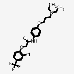 CCN(CC)CCCOc1ccc(NC(=O)COc2ccc(C(F)(F)F)cc2Cl)cc1